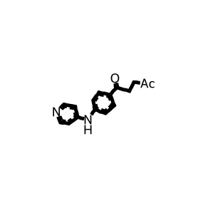 CC(=O)CCC(=O)c1ccc(Nc2ccncc2)cc1